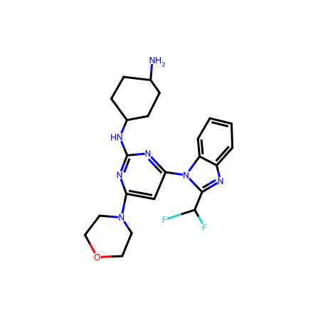 NC1CCC(Nc2nc(N3CCOCC3)cc(-n3c(C(F)F)nc4ccccc43)n2)CC1